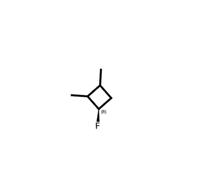 CC1C[C@@H](F)C1C